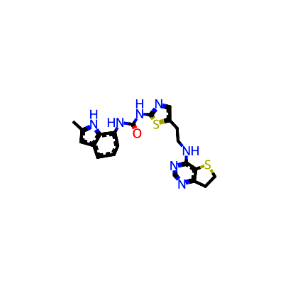 Cc1cc2cccc(NC(=O)Nc3ncc(CCNc4ncnc5c4SCC5)s3)c2[nH]1